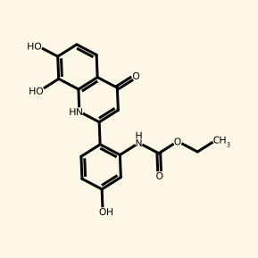 CCOC(=O)Nc1cc(O)ccc1-c1cc(=O)c2ccc(O)c(O)c2[nH]1